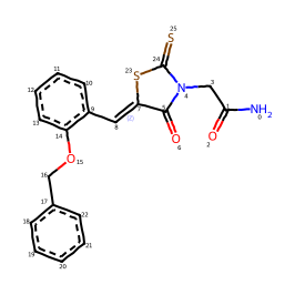 NC(=O)CN1C(=O)/C(=C/c2ccccc2OCc2ccccc2)SC1=S